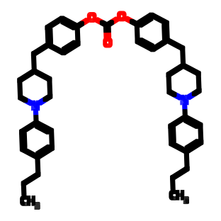 CCCc1ccc(N2CCC(Cc3ccc(OC(=O)Oc4ccc(CC5CCN(c6ccc(CCC)cc6)CC5)cc4)cc3)CC2)cc1